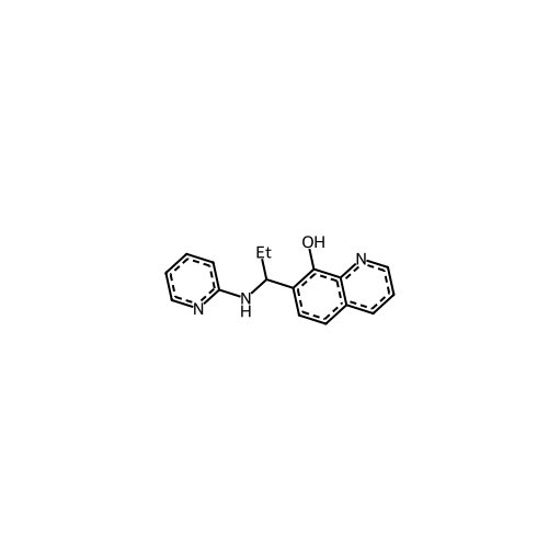 CCC(Nc1ccccn1)c1ccc2cccnc2c1O